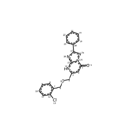 O=c1cc(COCc2ccccc2Cl)[nH]c2nc(-c3ccccc3)nn12